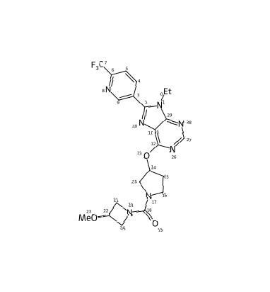 CCn1c(-c2ccc(C(F)(F)F)nc2)nc2c(OC3CCN(C(=O)N4CC(OC)C4)C3)ncnc21